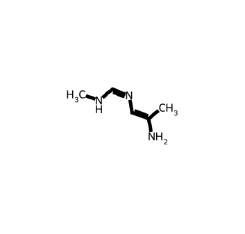 CN/C=N\C=C(/C)N